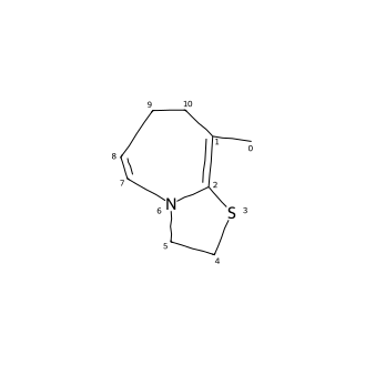 CC1=C2SCCN2C=CCC1